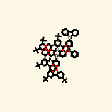 CC(C)(C)c1cc(-c2cc3c4c(c2)N(c2c(-c5ccccc5)cc(C(C)(C)C)cc2-c2ccccc2)c2cc(-n5c6ccc(C(C)(C)C)cc6c6cc(C(C)(C)C)ccc65)ccc2B4c2ccc(N(c4ccccc4)c4ccc(-n5c6ccccc6c6ccccc65)cc4)cc2N3c2c(-c3ccccc3)cc(C(C)(C)C)cc2-c2ccccc2)cc(C(C)(C)C)c1